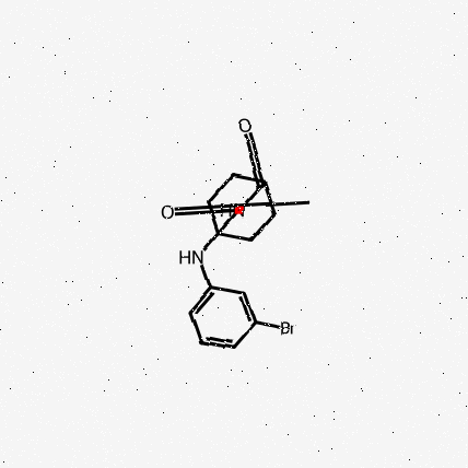 O=C1NC(=O)C2(Nc3cccc(Br)c3)CCC1CC2